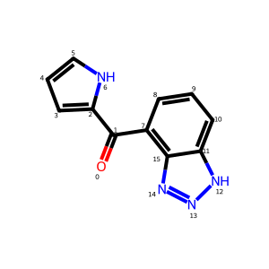 O=C(c1ccc[nH]1)c1cccc2[nH]nnc12